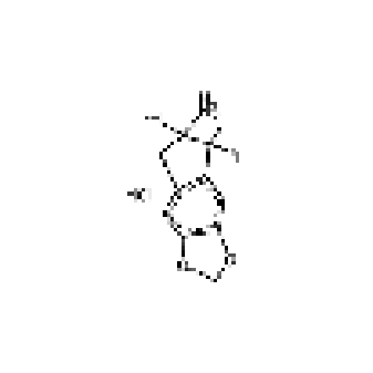 Cl.[2H]C1(N)Cc2cc3c(cc2C1([2H])[2H])OCO3